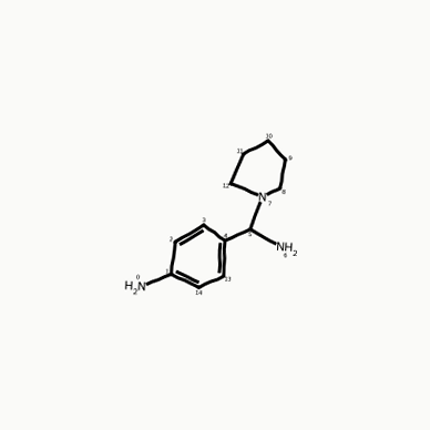 Nc1ccc(C(N)N2CCCCC2)cc1